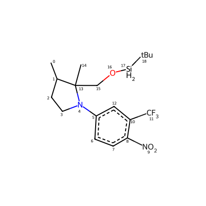 CC1CCN(c2ccc([N+](=O)[O-])c(C(F)(F)F)c2)C1(C)CO[SiH2]C(C)(C)C